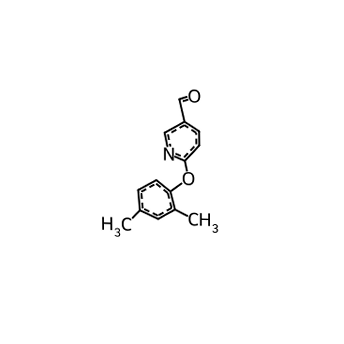 Cc1ccc(Oc2ccc(C=O)cn2)c(C)c1